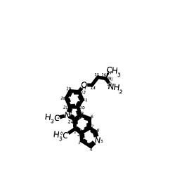 Cc1c2ccncc2cc2c3cc(OCC[C@@H](C)N)ccc3n(C)c12